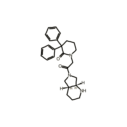 O=C(CN1CCCC(c2ccccc2)(c2ccccc2)C1=O)N1C[C@H]2CCCN[C@H]2C1